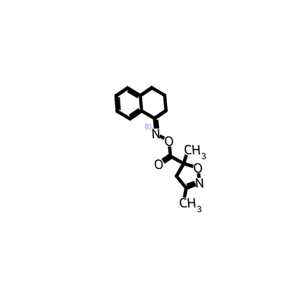 CC1=NOC(C)(C(=O)O/N=C2\CCCc3ccccc32)C1